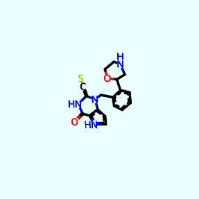 O=C1NC(=C=S)N(Cc2ccccc2C2CNCCO2)c2cc[nH]c21